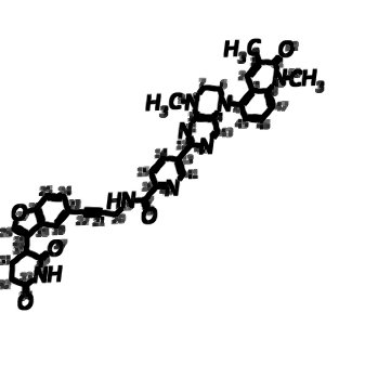 Cc1cc2c(N3CCN(C)c4nc(-c5ccc(C(=O)NCC#Cc6ccc7occ(C8CCC(=O)NC8=O)c7c6)nc5)ncc43)cccc2n(C)c1=O